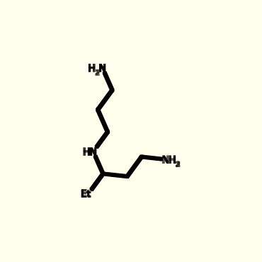 CCC(CCN)NCCCN